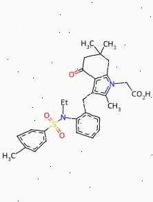 CCN(c1ccccc1Cc1c2c(n(CC(=O)O)c1C)CC(C)(C)CC2=O)S(=O)(=O)c1ccc(C)cc1